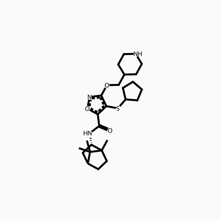 CC1(C)C2CCC1(C)[C@@H](NC(=O)c1onc(OCC3CCNCC3)c1SC1CCCC1)C2